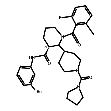 Cc1cccc(F)c1C(=O)N1CCC[C@H](C(=O)Nc2cccc(C(C)(C)C)c2)C1C1CCN(C(=O)N2CCCC2)CC1